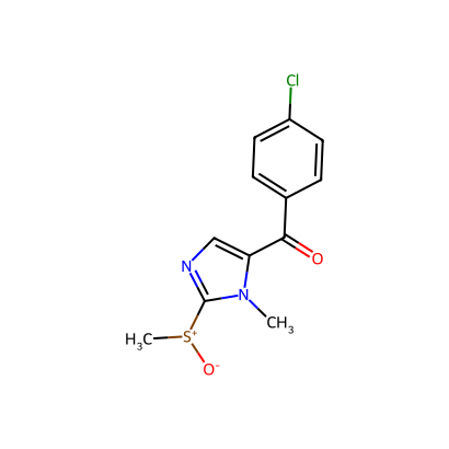 Cn1c(C(=O)c2ccc(Cl)cc2)cnc1[S+](C)[O-]